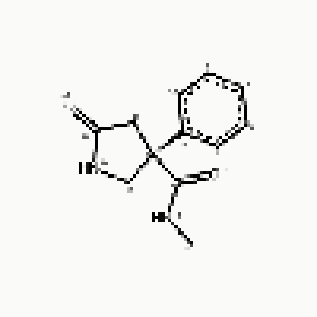 CNC(=O)[C@]1(c2ccccc2)CNC(=O)C1